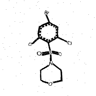 O=S(=O)(c1c(Cl)cc(Br)cc1Cl)N1CCOCC1